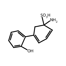 NC1(S(=O)(=O)O)C=CC=C(c2ccccc2O)C1